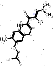 Cc1cc2c(cc1OCC(F)F)CC=C(C(=O)/C(C#N)=C/N(C)C)N2